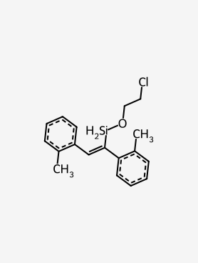 Cc1ccccc1C=C([SiH2]OCCCl)c1ccccc1C